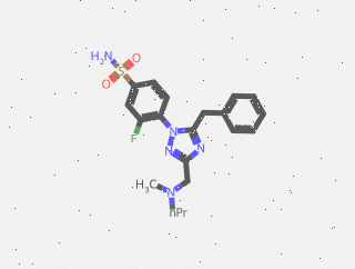 CCCN(C)Cc1nc(Cc2ccccc2)n(-c2ccc(S(N)(=O)=O)cc2F)n1